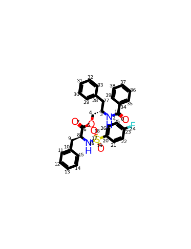 O=C(N[C@H](COC(=O)[C@H](Cc1ccccc1)NS(=O)(=O)c1ccc(F)cc1)Cc1ccccc1)c1ccccc1